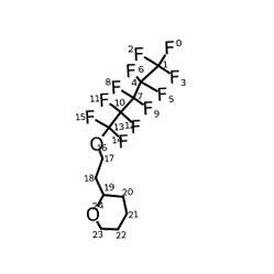 FC(F)(F)C(F)(F)C(F)(F)C(F)(F)C(F)(F)OCCC1CCCCO1